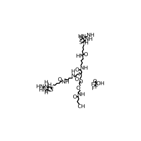 C#CCCC(=O)NCCOCCOCCN(CC(=O)NCCCCNC(=O)CCCC[C@@H]1SC[C@@H]2NC(=N)N[C@@H]21)CC(=O)NCCCCNC(=O)CCCC[C@@H]1SC[C@@H]2NC(=N)N[C@@H]21.O=C(O)C(F)(F)F